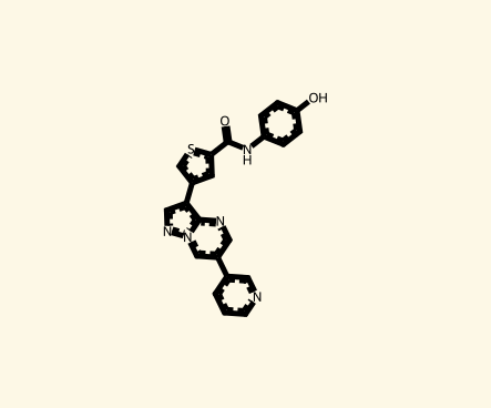 O=C(Nc1ccc(O)cc1)c1cc(-c2cnn3cc(-c4cccnc4)cnc23)cs1